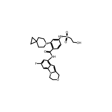 O=C(Nc1cc(F)cc2c1cc1n2CCOC1)c1ccc(NS(=O)(=O)CCO)cc1N1CCC2(CC1)CC2